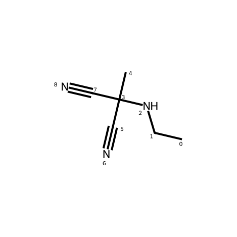 CCNC(C)(C#N)C#N